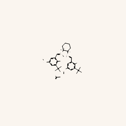 CC(=O)[O-].COc1cc(C=[N+]2[Co][N+](=Cc3cc(OC)cc(C(C)(C)C)c3O)[C@@H]3CCCC[C@H]32)c(O)c(C(C)(C)C)c1